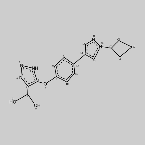 OC(O)c1nn[nH]c1Oc1ccc(-c2cnn(C3CCC3)c2)cc1